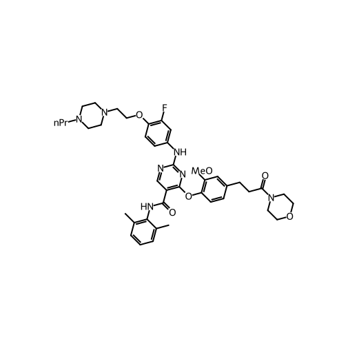 CCCN1CCN(CCOc2ccc(Nc3ncc(C(=O)Nc4c(C)cccc4C)c(Oc4ccc(CCC(=O)N5CCOCC5)cc4OC)n3)cc2F)CC1